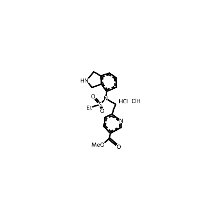 CCS(=O)(=O)N(Cc1ccc(C(=O)OC)cn1)c1cccc2c1CNC2.Cl.Cl